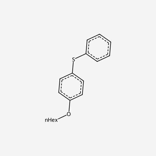 CCCCCCOc1ccc(Sc2ccccc2)cc1